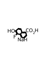 O=C(O)c1cccc2c(F)c(O)ccc12.[NaH]